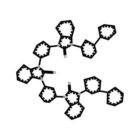 O=c1n(-c2cccc(-c3ccccc3)c2)c2ccccc2n1-c1cccc(-n2c(=O)n(-c3cccc(-n4c(=O)n(-c5cccc(-c6ccccc6)c5)c5ccccc54)c3)c3ccccc32)c1